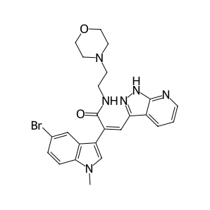 Cn1cc(C(=Cc2n[nH]c3ncccc23)C(=O)NCCN2CCOCC2)c2cc(Br)ccc21